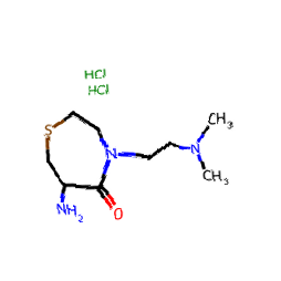 CN(C)CCN1CCSCC(N)C1=O.Cl.Cl